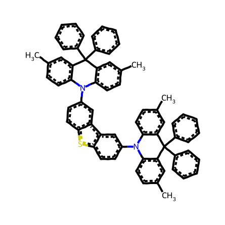 Cc1ccc2c(c1)C(c1ccccc1)(c1ccccc1)c1cc(C)ccc1N2c1ccc2sc3ccc(N4c5ccc(C)cc5C(c5ccccc5)(c5ccccc5)c5cc(C)ccc54)cc3c2c1